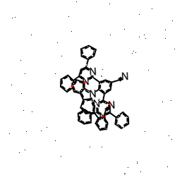 N#Cc1cc(-c2cc(-c3ccccc3)nc(-c3ccccc3)n2)c(-n2c3ccccc3c3ccc(-c4ccccc4C#N)cc32)c(-c2nc(-c3ccccc3)cc(-c3ccccc3)n2)c1